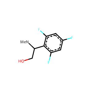 CNC(CO)c1c(F)cc(F)cc1F